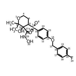 CC1(C)OCCC(S(=O)(=O)c2ccc(OCc3ccc(F)cc3)cc2)C1(O)C(=O)NO